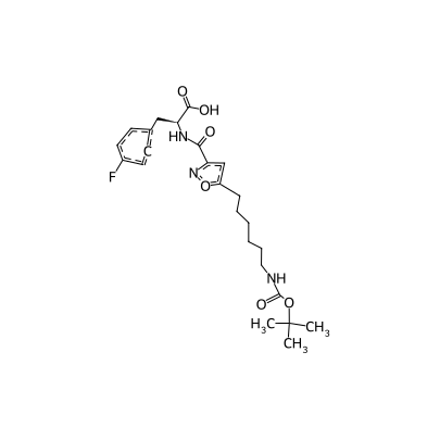 CC(C)(C)OC(=O)NCCCCCCc1cc(C(=O)N[C@@H](Cc2ccc(F)cc2)C(=O)O)no1